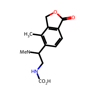 CNC(CNC(=O)O)c1ccc2c(c1C)COC2=O